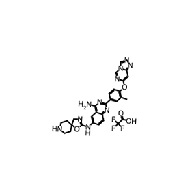 Cc1cc(-c2nc(N)c3cc(NC4=NCC5(CCNCC5)O4)ccc3n2)ccc1Oc1cc2nncn2cn1.O=C(O)C(F)(F)F